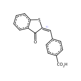 O=C(O)c1ccc(/C=C2/Sc3ccccc3C2=O)cc1